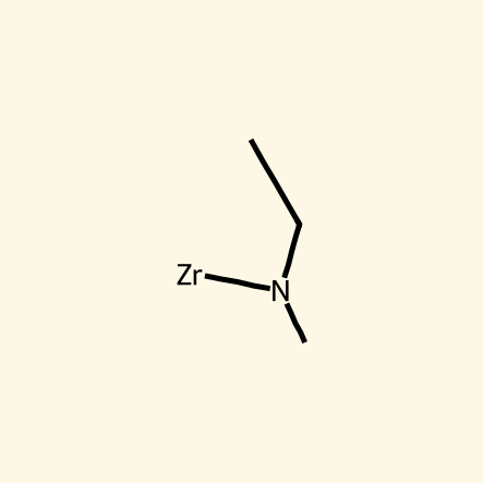 CC[N](C)[Zr]